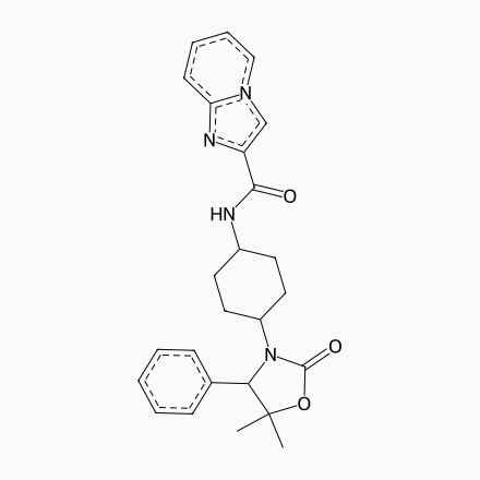 CC1(C)OC(=O)N(C2CCC(NC(=O)c3cn4ccccc4n3)CC2)C1c1ccccc1